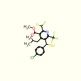 COC(=O)c1c(C(F)F)nc(C(F)(F)F)c(C(S)c2ccc(Cl)cc2)c1CC(C)C